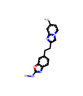 CCNc1nc2ccc(CCc3cn4ccc(C)cc4n3)cc2o1